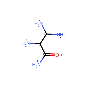 NC(=O)C(N)C(N)N